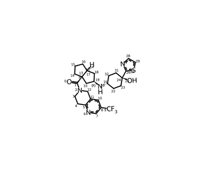 O=C(N1CCc2ncc(C(F)(F)F)cc2C1)[C@@]12CCC[C@@H]1C[C@@H](N[C@H]1CC[C@@](O)(c3nccs3)CC1)C2